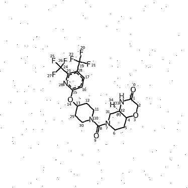 O=C1COC2CCN(C(=O)N3CCC(Oc4ccc(C(F)(F)F)c(C(F)(F)F)n4)CC3)C[C@H]2N1